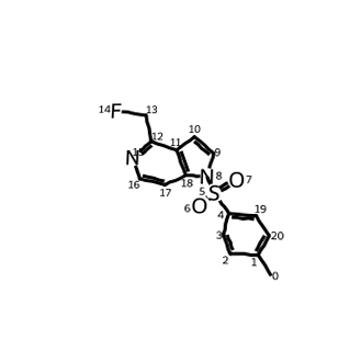 Cc1ccc(S(=O)(=O)n2ccc3c(CF)nccc32)cc1